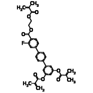 C=C(C)C(=O)OCCOC(=O)c1ccc(-c2ccc(-c3cc(OC(=O)C(=C)C)cc(OC(=O)C(=C)C)c3)cc2)cc1F